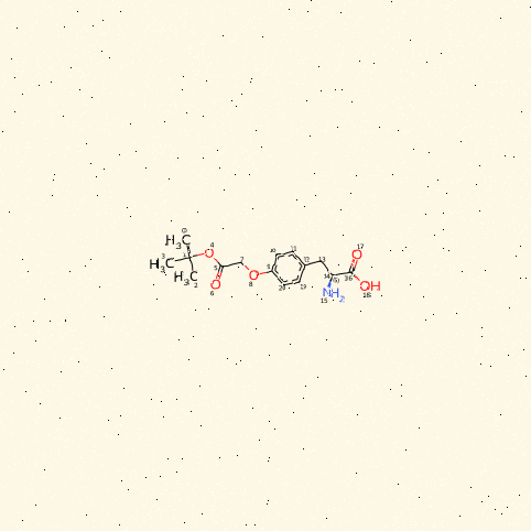 CC(C)(C)OC(=O)COc1ccc(C[C@H](N)C(=O)O)cc1